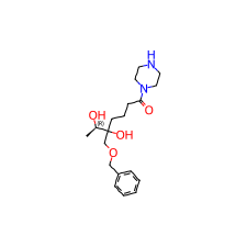 C[C@@H](O)C(O)(CCCC(=O)N1CCNCC1)COCc1ccccc1